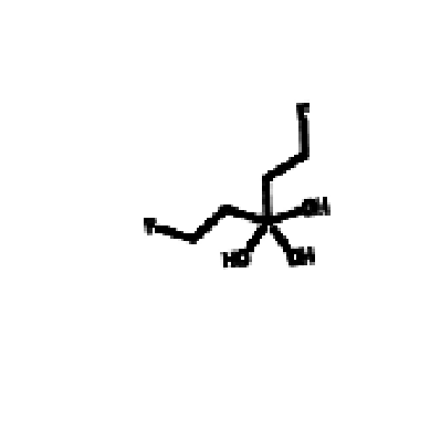 OP(O)(O)(CCF)CCF